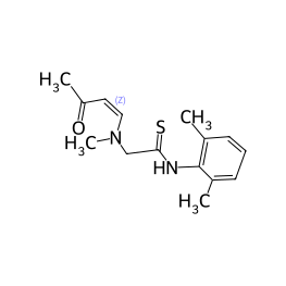 CC(=O)/C=C\N(C)CC(=S)Nc1c(C)cccc1C